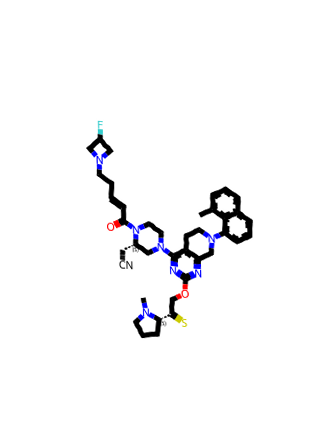 Cc1cccc2cccc(N3CCc4c(nc(OCC(=S)[C@@H]5CCCN5C)nc4N4CCN(C(=O)C=CCCN5CC(F)C5)[C@@H](CC#N)C4)C3)c12